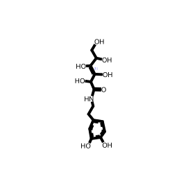 O=C(NCCc1ccc(O)c(O)c1)C(O)/C(O)=C(\O)C(O)CO